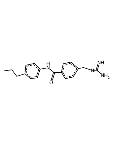 CCCc1ccc(NC(=O)c2ccc(CNC(=N)N)cc2)cc1